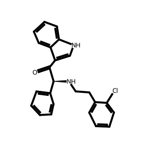 O=C(c1c[nH]c2ccccc12)[C@@H](NCCc1ccccc1Cl)c1ccccc1